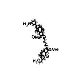 C/C=C\C1=CN2C(=O)c3cc(OC)c(OCCCCCOc4cc5c(cc4OC)C(=O)N4C=C(c6cccc(N)c6)C[C@H]4C=N5)cc3N=C[C@@H]2C1